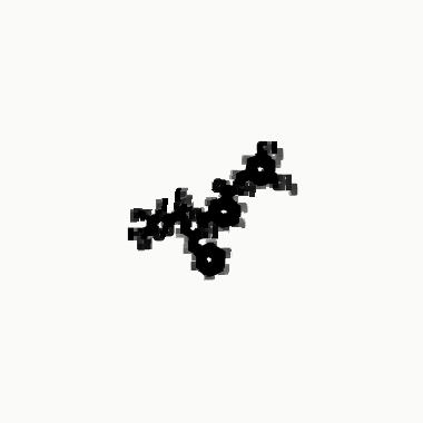 CCNC(=O)[C@@H](NC(=O)[C@H](C)NC[C@H](Cc1ccccc1)NC(=O)c1cccc(C(=O)NCc2cc(C)cc(C)c2)c1)C(C)C